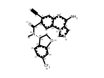 C#Cc1cc2nc(N)c3cncn3c2cc1C(=O)N(C)[C@@H]1COc2cc(C(F)(F)F)ccc21